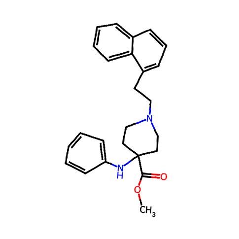 COC(=O)C1(Nc2ccccc2)CCN(CCc2cccc3ccccc23)CC1